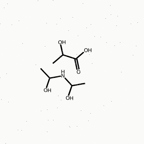 CC(O)C(=O)O.CC(O)NC(C)O